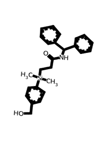 C[Si](C)(CCC(=O)NC(c1ccccc1)c1ccccc1)c1ccc(CO)cc1